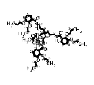 C=CCOc1cccc(C(=O)NCCCC(CCCNC(=O)c2cccc(OCC=C)c2OCC=C)(CCCNC(=O)c2cccc(OCC=C)c2OCC=C)CO[Si](C)(C)C(C)(C)C)c1OCC=C